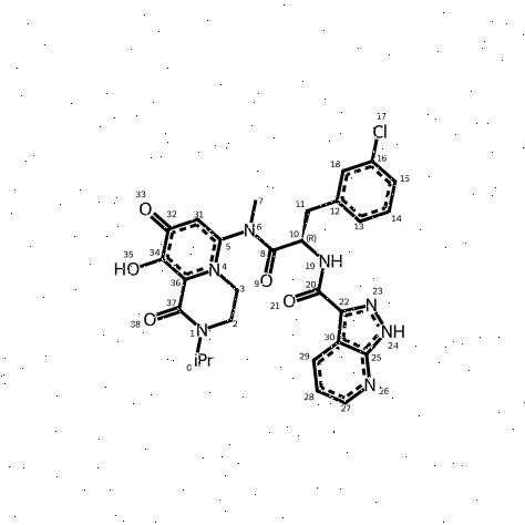 CC(C)N1CCn2c(N(C)C(=O)[C@@H](Cc3cccc(Cl)c3)NC(=O)c3n[nH]c4ncccc34)cc(=O)c(O)c2C1=O